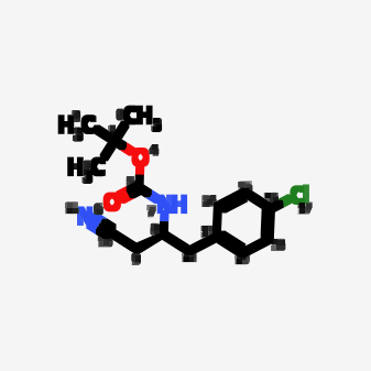 CC(C)(C)OC(=O)N[C@H](CC#N)Cc1ccc(Cl)cc1